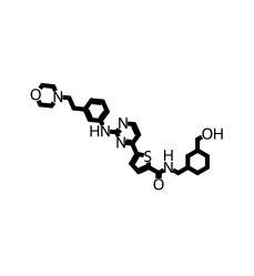 O=C(NCC1CCCC(CO)C1)c1ccc(-c2ccnc(Nc3cccc(CCN4CCOCC4)c3)n2)s1